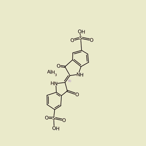 O=C1/C(=C2\Nc3ccc(S(=O)(=O)O)cc3C2=O)Nc2ccc(S(=O)(=O)O)cc21.[AlH3]